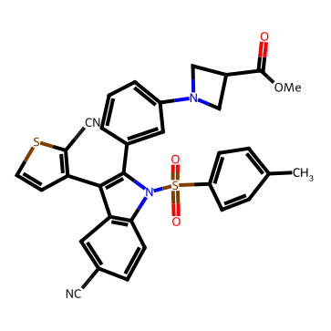 COC(=O)C1CN(c2cccc(-c3c(-c4ccsc4C#N)c4cc(C#N)ccc4n3S(=O)(=O)c3ccc(C)cc3)c2)C1